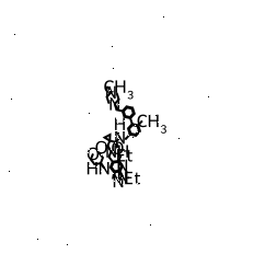 CCc1nc2c(cnn2CC)c(NC2CCOCC2)c1CNC(=O)C1(C(=O)NCc2ccc(C)c(-c3cccc(CN4CCN(C)CC4)c3)c2)CC1